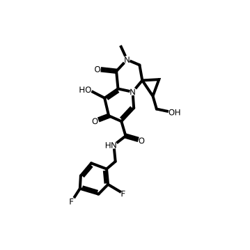 CN1CC2(CC2CO)n2cc(C(=O)NCc3ccc(F)cc3F)c(=O)c(O)c2C1=O